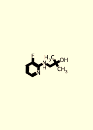 CC(C)(O)CNc1ncc[c]c1F